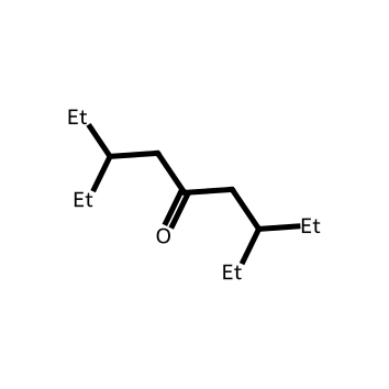 CCC(CC)CC(=O)CC(CC)CC